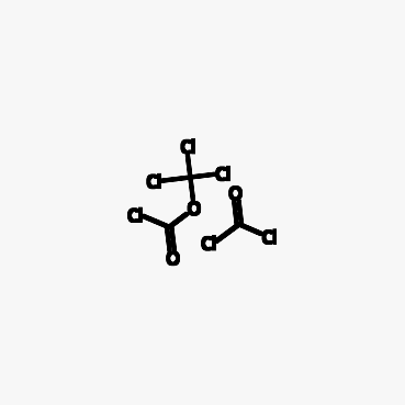 O=C(Cl)Cl.O=C(Cl)OC(Cl)(Cl)Cl